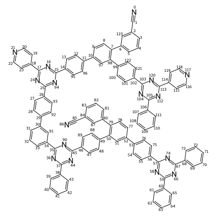 N#Cc1cccc(-c2ccc(-c3ccc(-c4nc(-c5ccncc5)nc(-c5ccc(-c6cccc(-c7nc(-c8ccccc8)nc(-c8ccc(-c9cc(-c%10ccc(-c%11nc(-c%12ccccc%12)nc(-c%12ccccc%12)n%11)cc%10)ccc9-c9cccc(C#N)c9)cc8)n7)c6)cc5)n4)cc3)cc2-c2ccc(-c3nc(-c4ccccc4)nc(-c4ccncc4)n3)cc2)c1